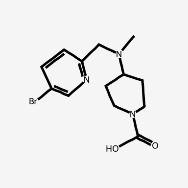 CN(Cc1ccc(Br)cn1)C1CCN(C(=O)O)CC1